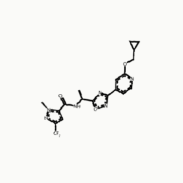 CC(NC(=O)c1cc(C(F)(F)F)nn1C)c1nc(-c2ccnc(OCC3CC3)c2)no1